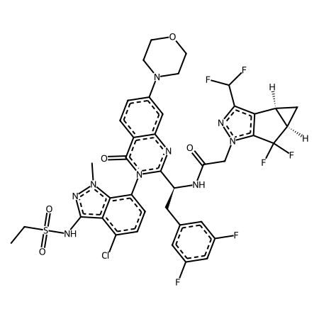 CCS(=O)(=O)Nc1nn(C)c2c(-n3c([C@H](Cc4cc(F)cc(F)c4)NC(=O)Cn4nc(C(F)F)c5c4C(F)(F)[C@@H]4C[C@H]54)nc4cc(N5CCOCC5)ccc4c3=O)ccc(Cl)c12